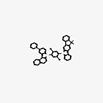 CC1(C)c2ccccc2-c2cc3c(cc21)c1ccccc1n3-c1cc(C#N)c(-n2c3ccc(-c4ccccc4)cc3c3c4ccccc4ccc32)cc1C#N